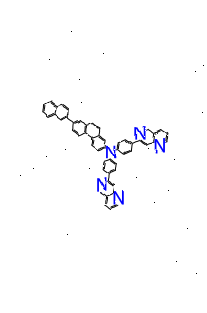 c1ccc2cc(-c3ccc4c(ccc5cc(N(c6ccc(-c7cc8ncccc8cn7)cc6)c6ccc(-c7cc8ncccc8cn7)cc6)ccc54)c3)ccc2c1